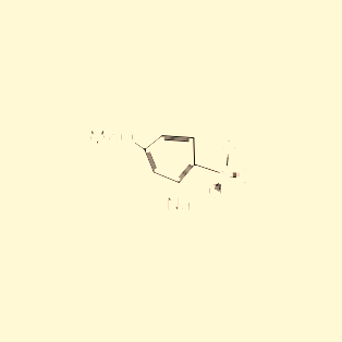 COc1ccc(S(=O)(=O)[O-])cc1.[Na+]